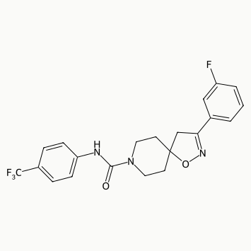 O=C(Nc1ccc(C(F)(F)F)cc1)N1CCC2(CC1)CC(c1cccc(F)c1)=NO2